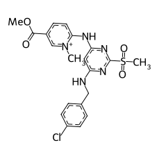 COC(=O)c1ccc(Nc2cc(NCc3ccc(Cl)cc3)nc(S(C)(=O)=O)n2)[n+](C)c1